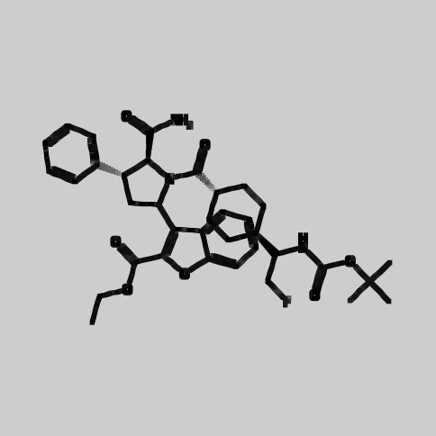 CCOC(=O)c1oc2ccccc2c1C1C[C@H](c2ccccc2)[C@@H](C(N)=O)N1C(=O)[C@H]1CC[C@H](C(CF)NC(=O)OC(C)(C)C)CC1